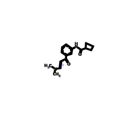 CN(C)/C=C/C(=O)c1cccc(NC(=O)C2CCC2)c1